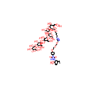 CCc1ccc(O)c(-n2[nH]c(=O)n(-c3ccc(OCCOCCOCc4cn(CCCCCO[C@@H]5OC(CO)[C@@H](O)[C@H](O[C@@H]6OC(CO)[C@@H](O)[C@H](O[C@@H]7OC(CO)[C@@H](O)[C@H](O[C@@H]8OC(CO)[C@@H](O)[C@H](O[C@@H]9OC(CO)[C@@H](O)[C@H](O[C@@H]%10OC(CO)[C@@H](O)[C@H](O)C%10O)C9O)C8O)C7O)C6O)C5O)nn4)cc3)c2=O)c1